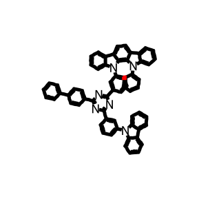 c1ccc(-c2ccc(-c3nc(-c4cccc(-n5c6ccccc6c6ccccc65)c4)nc(-c4cccc(-n5c6ccccc6c6ccc7c8ccccc8n(-c8ccccc8)c7c65)c4)n3)cc2)cc1